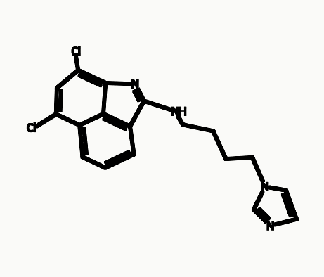 Clc1cc(Cl)c2cccc3c2c1N=C3NCCCCn1ccnc1